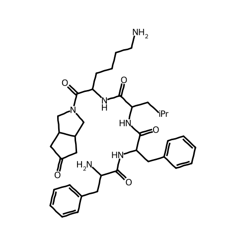 CC(C)CC(NC(=O)C(Cc1ccccc1)NC(=O)C(N)Cc1ccccc1)C(=O)NC(CCCCN)C(=O)N1CC2CC(=O)CC2C1